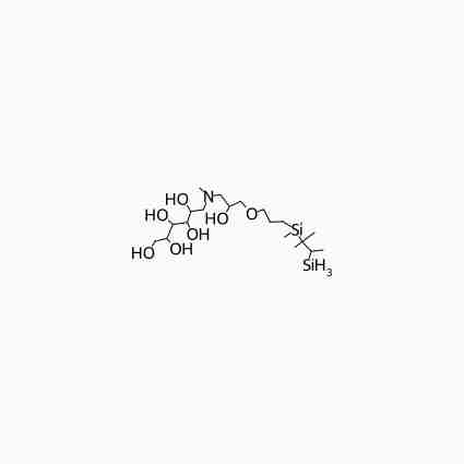 CC([SiH3])C(C)(C)[Si](C)(C)CCCOCC(O)CN(C)CC(O)C(O)C(O)C(O)CO